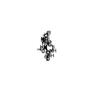 CCOC(=O)c1[nH]c2nc1-c1ccc(NC(=O)OC)cc1NCCCCCC2NC(=O)/C=C/c1cc(Cl)ccc1-n1cnnn1